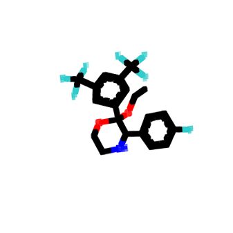 CCOC1(c2cc(C(F)(F)F)cc(C(F)(F)F)c2)OCCNC1c1ccc(F)cc1